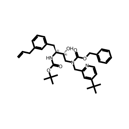 C=CCc1cccc(C[C@H](NC(=O)OC(C)(C)C)[C@H](O)CN(Cc2cc(C(C)(C)C)ccn2)C(=O)OCc2ccccc2)c1